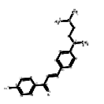 CN(C)CCN(C)c1ccc(C=CC(=O)c2ccc(F)cc2)cc1